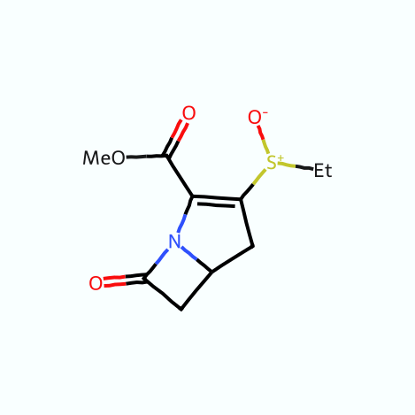 CC[S+]([O-])C1=C(C(=O)OC)N2C(=O)CC2C1